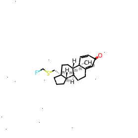 C[C@]12C=CC(=O)C=C1CC[C@H]1[C@@H]3CCC[C@@]3(CSCF)CC[C@@H]12